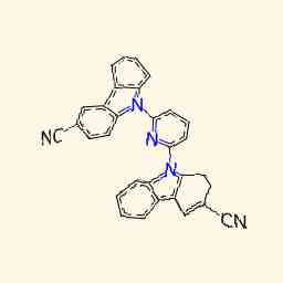 N#CC1=Cc2c(n(-c3cccc(-n4c5ccccc5c5cc(C#N)ccc54)n3)c3ccccc23)CC1